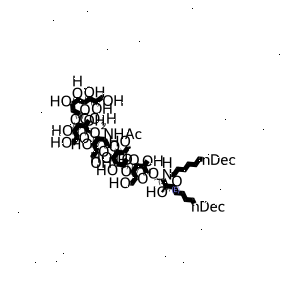 CCCCCCCCCCCCC/C=C/[C@@H](O)[C@H](CO[C@@H]1OC(CO)[C@@H](O[C@@H]2OC(CO)[C@H](O[C@@H]3OC(CO)[C@H](O)[C@H](O[C@@H]4OC(CO)[C@H](O)[C@H](O[C@]5(C(=O)O)CC(O)[C@@H](O)C([C@H](O)[C@H](O)CO)O5)C4O)C3NC(C)=O)[C@H](O)C2O)[C@H](O)C1O)NC(=O)CCCCCCCCCCCCCCC